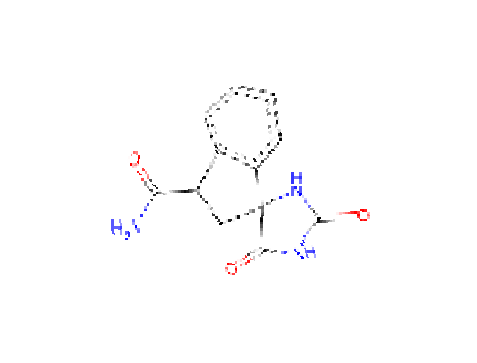 NC(=O)C1CC2(NC(=O)NC2=O)c2ccccc21